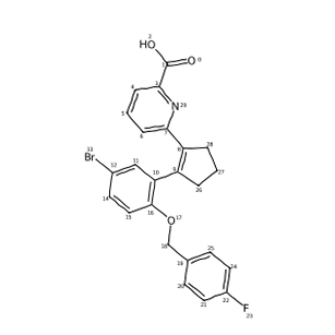 O=C(O)c1cccc(C2=C(c3cc(Br)ccc3OCc3ccc(F)cc3)CCC2)n1